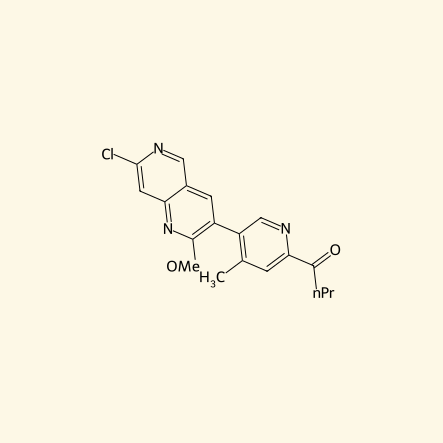 CCCC(=O)c1cc(C)c(-c2cc3cnc(Cl)cc3nc2OC)cn1